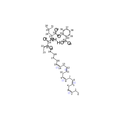 CC/C=C\C/C=C\C/C=C\C/C=C\C/C=C\CCCCO[C@@H](CC)C(=O)NC(CC(C)C)C(=O)Oc1ccccc1C(=O)O